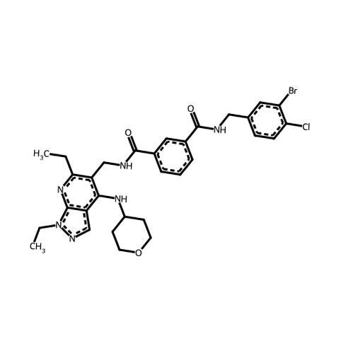 CCc1nc2c(cnn2CC)c(NC2CCOCC2)c1CNC(=O)c1cccc(C(=O)NCc2ccc(Cl)c(Br)c2)c1